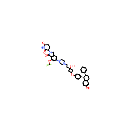 O=C1CCC(N2Cc3cc(N4CCN(CCC5(O)CC(Oc6ccc([C@@H]7c8ccc(O)cc8CC[C@@H]7c7ccccc7)cc6)C5)CC4)cc(OC(F)F)c3C2=O)C(=O)N1